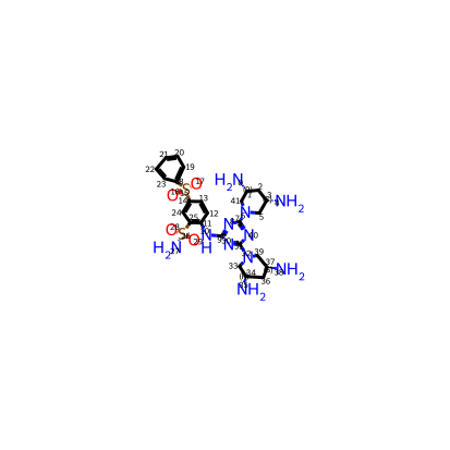 N[C@@H]1C[C@H](N)CN(c2nc(Nc3ccc(S(=O)(=O)c4ccccc4)cc3S(N)(=O)=O)nc(N3C[C@H](N)C[C@H](N)C3)n2)C1